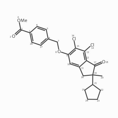 COC(=O)c1ccc(COc2cc3c(c(Cl)c2Cl)C(=O)C(C)(C2CCCC2)C3)cc1